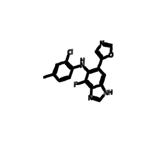 Cc1ccc(Nc2c(-c3cnco3)cc3[nH]cnc3c2F)c(Cl)c1